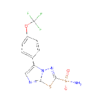 NS(=O)(=O)c1nn2c(-c3ccc(OC(F)(F)F)cc3)cnc2s1